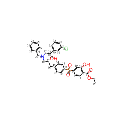 CCOC(=O)c1ccc(S(=O)(=O)c2ccc(CCCN(Cc3ccccc3)C[C@@H](O)c3cccc(Cl)c3)cc2)cc1O